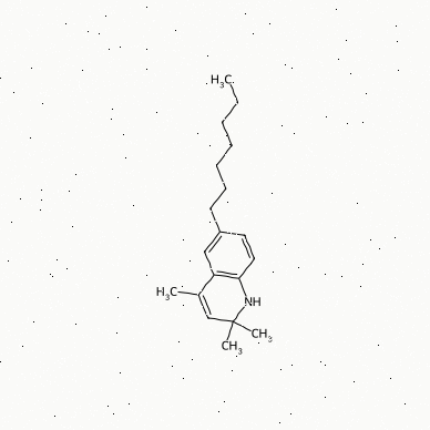 CCCCCCCc1ccc2c(c1)C(C)=CC(C)(C)N2